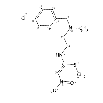 CS/C(=C\[N+](=O)[O-])NCCN(C)Cc1ccc(Cl)nc1